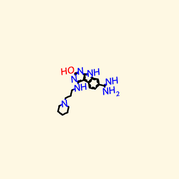 N=C(N)c1ccc2c(c1)[nH]c1nc(O)nc(NCCCN3CCCCC3)c12